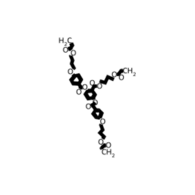 C=CC(=O)OCCCCOC(=O)c1cc(OC(=O)c2ccc(OCCCCOC(=O)C=C)cc2)ccc1OC(=O)c1ccc(OCCCCOC(=O)C=C)cc1